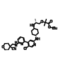 C[C@H](COC(C)(C)C(=O)OC(C)(C)C)N[C@H]1CC[C@H](Nc2cc(-c3cccc(NCC4(C#N)CCOCC4)n3)c(Cl)cn2)CC1